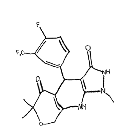 Cn1[nH]c(=O)c2c1NC1=C(C(=O)C(C)(C)OC1)C2c1ccc(F)c(C(F)(F)F)c1